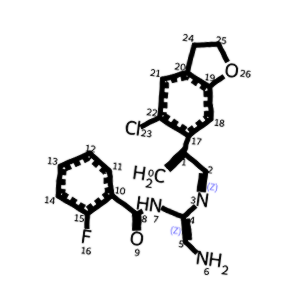 C=C(/C=N\C(=C/N)NC(=O)c1ccccc1F)c1cc2c(cc1Cl)CCO2